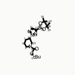 CC(C)(C)OC(=O)N1CCC[C@H](n2ncc(B3OC(C)(C)C(C)(C)O3)n2)C1